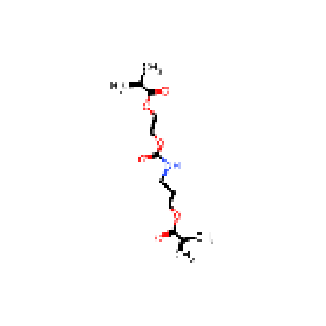 C=C(C)C(=O)OCCCNC(=O)OCCOC(=O)C(=C)C